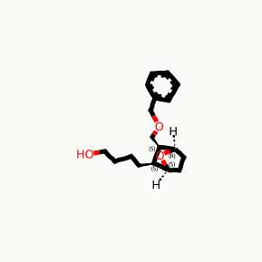 OCCCC[C@H]1[C@@H](COCc2ccccc2)[C@H]2CC[C@@H]1O2